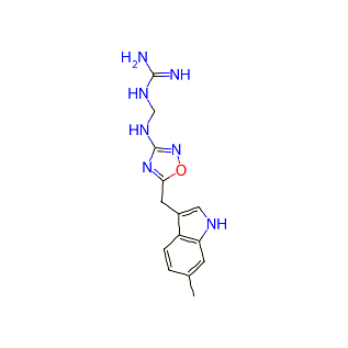 Cc1ccc2c(Cc3nc(NCNC(=N)N)no3)c[nH]c2c1